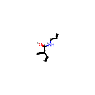 C=CCNC(=O)C(=C)C=C